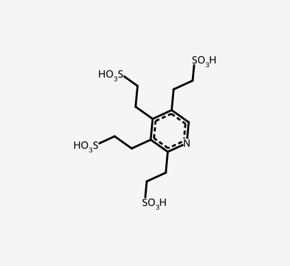 O=S(=O)(O)CCc1cnc(CCS(=O)(=O)O)c(CCS(=O)(=O)O)c1CCS(=O)(=O)O